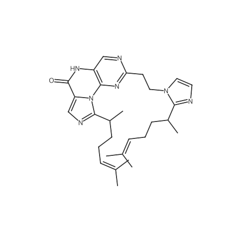 CC(C)=CCCC(C)c1nccn1CCc1ncc2[nH]c(=O)c3cnc(C(C)CCC=C(C)C)n3c2n1